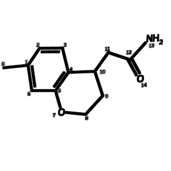 Cc1ccc2c(c1)OCCC2CC(N)=O